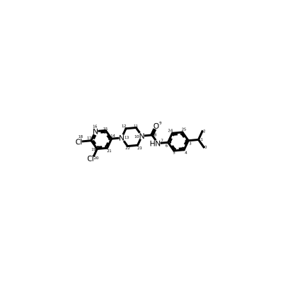 CC(C)c1ccc(NC(=O)N2CCN(c3cnc(Cl)c(Cl)c3)CC2)cc1